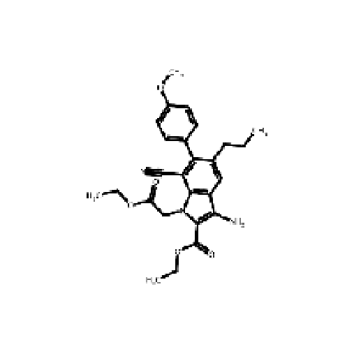 CCCc1cc2c(N)c(C(=O)OCC)n(CC(=O)OCC)c2c(C#N)c1-c1ccc(OC)cc1